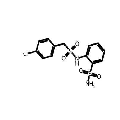 NS(=O)(=O)c1ccccc1NS(=O)(=O)Cc1ccc(Cl)cc1